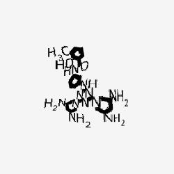 Cc1cccc(C(=O)Nc2cccc(Nc3nc(N4C[C@H](N)C[C@H](N)C4)nc(N4C[C@H](N)C[C@H](N)C4)n3)c2)c1O